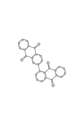 O=C1c2ccccc2C(=O)c2cc(-c3[c]ccc4c3C(=O)c3ccccc3C4=O)ccc21